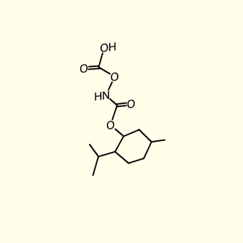 CC1CCC(C(C)C)C(OC(=O)NOC(=O)O)C1